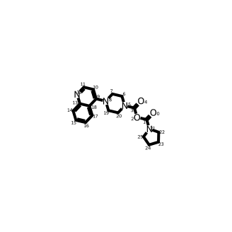 O=C(OC(=O)N1CCN(c2ccnc3ccccc23)CC1)N1CCCC1